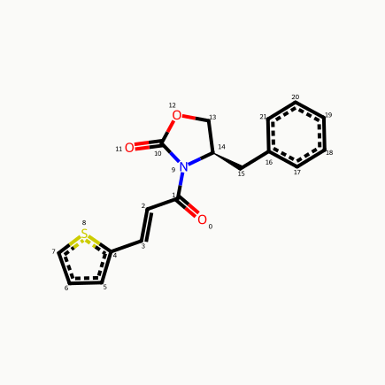 O=C(/C=C/c1cccs1)N1C(=O)OC[C@H]1Cc1ccccc1